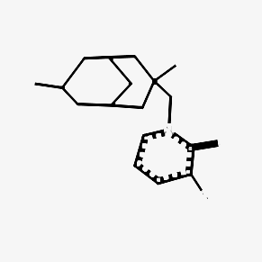 CC1CC2CC(C1)CC(C)(Cn1cccc(N)c1=O)C2